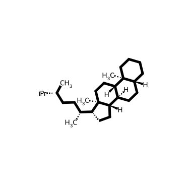 CC(C)[C@H](C)CC[C@@H](C)[C@H]1CC[C@H]2[C@@H]3CC[C@H]4CCCC[C@]4(C)[C@H]3CC[C@]12C